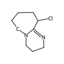 ClC1CCCCN2CCCN=C12